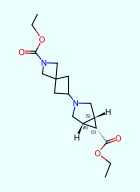 CCOC(=O)[C@@H]1[C@@H]2CN(C3CC4(C3)CN(C(=O)OCC)C4)C[C@@H]21